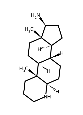 C[C@]12CCCN[C@@H]1CC[C@@H]1[C@@H]2CC[C@]2(C)[C@@H](N)CC[C@@H]12